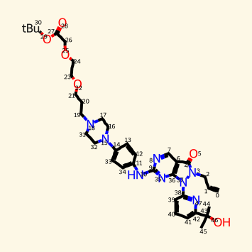 C=CCn1c(=O)c2cnc(Nc3ccc(N4CCN(CCCOCCOCC(=O)OC(C)(C)C)CC4)cc3)nc2n1-c1cccc(C(C)(C)O)n1